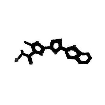 CCNC(=O)c1sc(-c2ccc(-c3cc4ccccc4s3)s2)nc1C